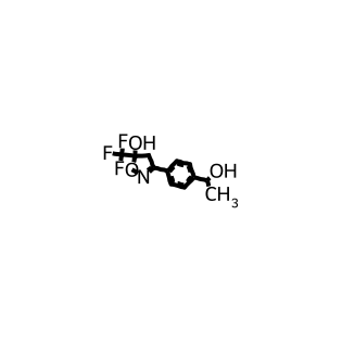 CC(O)c1ccc(C2=NOC(O)(C(F)(F)F)C2)cc1